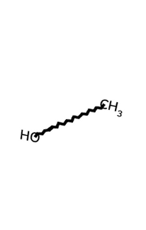 CCCCCCCCCCCCCCC=CCCCO